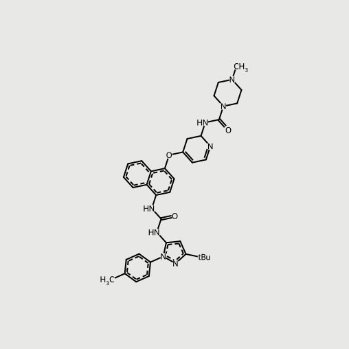 Cc1ccc(-n2nc(C(C)(C)C)cc2NC(=O)Nc2ccc(OC3=CC=NC(NC(=O)N4CCN(C)CC4)C3)c3ccccc23)cc1